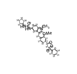 COc1cc(C(=O)CS(=O)(=O)c2ccccc2)ccc1Cc1cn(C)c2ccc(NC(=O)NC3CCCC3)cc12